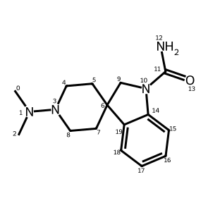 CN(C)N1CCC2(CC1)CN(C(N)=O)c1ccccc12